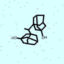 C[C](C12CC3CC(CC(O)(C3)C1)C2)C12CC3CC(CC(O)(C3)C1)C2